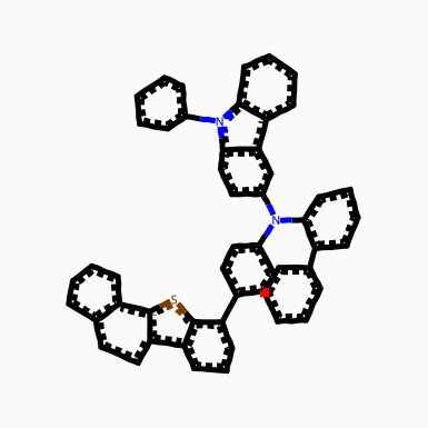 c1ccc(-c2ccccc2N(c2ccc(-c3cccc4c3sc3c5ccccc5ccc43)cc2)c2ccc3c(c2)c2ccccc2n3-c2ccccc2)cc1